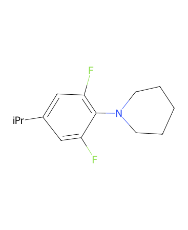 CC(C)c1cc(F)c(N2CCCCC2)c(F)c1